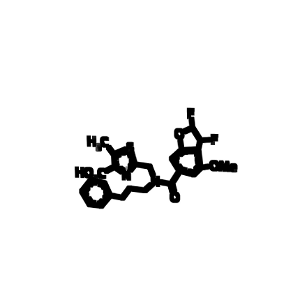 COc1cc(C(=O)N(CCCc2ccccc2)Cc2nc(C(=O)O)c(C)s2)cc2c1C(F)C(F)O2